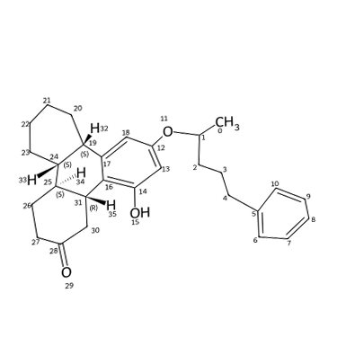 CC(CCCc1ccccc1)Oc1cc(O)c2c(c1)[C@H]1CCCC[C@H]1[C@@H]1CCC(=O)C[C@@H]21